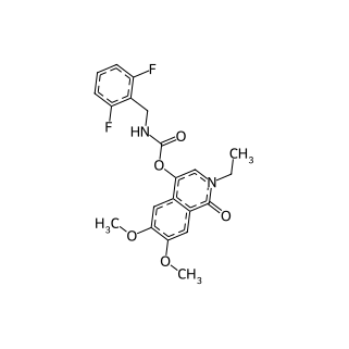 CCn1cc(OC(=O)NCc2c(F)cccc2F)c2cc(OC)c(OC)cc2c1=O